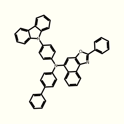 c1ccc(-c2ccc(N(c3ccc(-n4c5ccccc5c5ccccc54)cc3)c3cc4oc(-c5ccccc5)nc4c4ccccc34)cc2)cc1